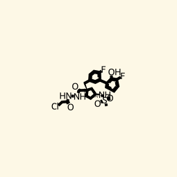 CS(=O)(=O)N[C@H]1CC[C@](Cc2ccc(F)c(-c3cccc(F)c3O)c2)(C(=O)NNC(=O)CCl)C1